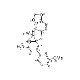 CCCNC1(Cc2ccc3c(c2)OCO3)C=C(c2cccc(OC)c2)N=C(N)N1